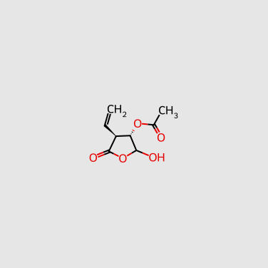 C=C[C@@H]1C(=O)OC(O)[C@H]1OC(C)=O